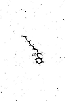 CCCCCCC=C[Si](Cl)(Cl)c1ccccc1